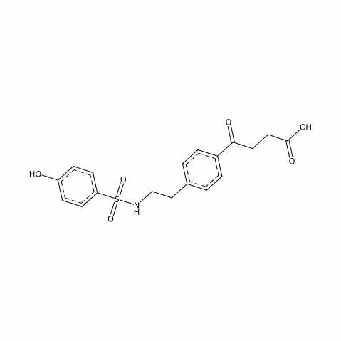 O=C(O)CCC(=O)c1ccc(CCNS(=O)(=O)c2ccc(O)cc2)cc1